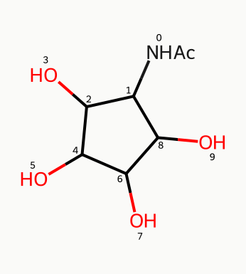 CC(=O)NC1C(O)C(O)C(O)C1O